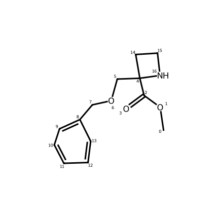 COC(=O)C1(COCc2ccccc2)CCN1